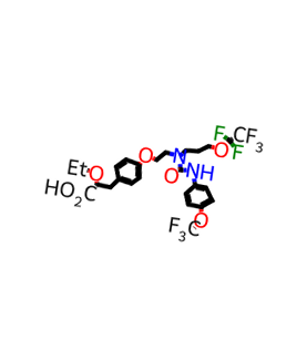 CCOC(Cc1ccc(OCCN(CCCOC(F)(F)C(F)(F)F)C(=O)Nc2ccc(OC(F)(F)F)cc2)cc1)C(=O)O